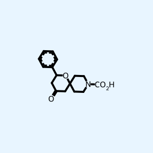 O=C1CC(c2ccccc2)OC2(CCN(C(=O)O)CC2)C1